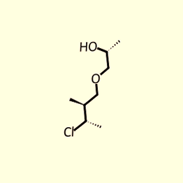 C[C@H](Cl)[C@@H](C)COC[C@@H](C)O